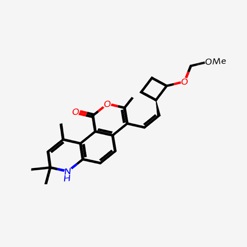 COCOC1CC[C@@H]1/C=C\c1c(C)oc(=O)c2c3c(ccc12)NC(C)(C)C=C3C